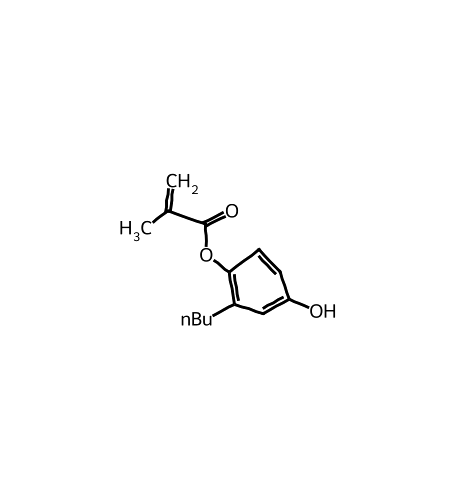 C=C(C)C(=O)Oc1ccc(O)cc1CCCC